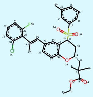 CCOC(=O)C(C)(C)C[C@H]1C[C@H](S(=O)(=O)c2cccc(C)c2)c2cc(/C=C(\C)c3c(F)cccc3Cl)ccc2O1